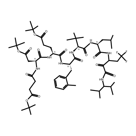 Cc1ccccc1C[C@H](NC(=O)[C@H](CCC(=O)OC(C)(C)C)NC(=O)[C@H](CC(=O)OC(C)(C)C)NC(=O)CCC(=O)OC(C)(C)C)C(=O)N[C@H](C(=O)N[C@@H](CC(C)C)C(=O)NC(CC(F)(F)F)C(=O)C(=O)NC(C(C)C)C(C)C)C(C)(C)C